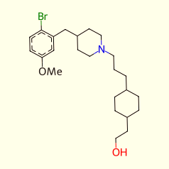 COc1ccc(Br)c(CC2CCN(CCCC3CCC(CCO)CC3)CC2)c1